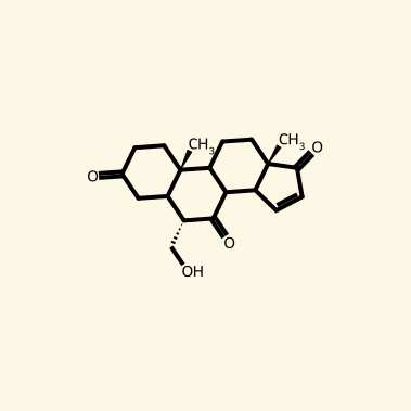 C[C@]12CCC(=O)CC1[C@@H](CO)C(=O)C1C2CC[C@]2(C)C(=O)C=CC12